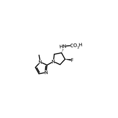 Cn1ccnc1N1C[C@H](NC(=O)O)[C@@H](F)C1